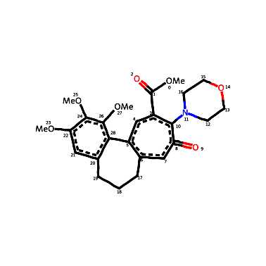 COC(=O)c1cc2c(cc(=O)c1N1CCOCC1)CCCc1cc(OC)c(OC)c(OC)c1-2